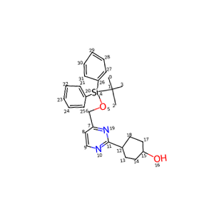 CC(C)(C)[Si](OCc1ccnc(C2CCC(O)CC2)n1)(c1ccccc1)c1ccccc1